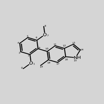 COc1cccc(OC)c1-c1cc2cc[nH]c2cc1C